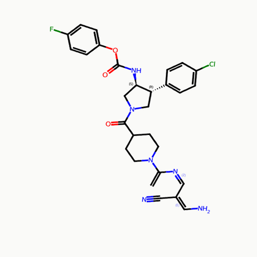 C=C(/N=C\C(C#N)=C/N)N1CCC(C(=O)N2C[C@@H](NC(=O)Oc3ccc(F)cc3)[C@H](c3ccc(Cl)cc3)C2)CC1